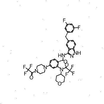 O=C(Nc1n[nH]c2ccc(Cc3cc(F)cc(F)c3)cc12)c1ccc(N2CCN(C(=O)C(F)(F)F)CC2)cc1N(C(=O)C(F)(F)F)C1CCOCC1